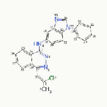 CC(Cl)=Cc1nnc(Nc2ccc3c(c2)ncn3-c2ccccc2)c2ccccc12